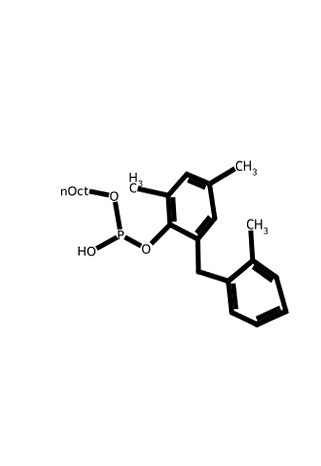 CCCCCCCCOP(O)Oc1c(C)cc(C)cc1Cc1ccccc1C